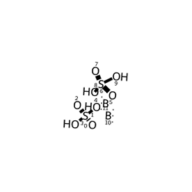 O=S(=O)(O)O.O=S(=O)(O)O.[B].[B]